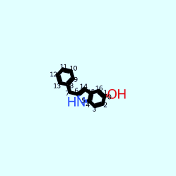 Oc1ccc2[nH]c(Cc3ccccc3)cc2c1